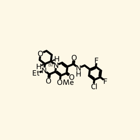 CCN1C(=O)c2c(OC)c(=O)c(C(=O)NCc3cc(Cl)c(F)cc3F)cn2[C@H]2CCOC[C@H]21